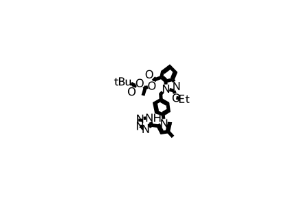 CCOc1nc2cccc(C(=O)OC(C)OC(=O)C(C)(C)C)c2n1Cc1ccc(-n2cc(C)cc2-c2nnn[nH]2)cc1